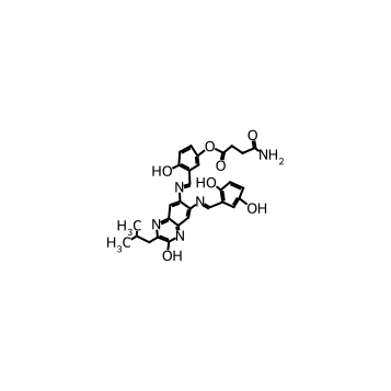 CC(C)Cc1nc2cc(/N=C/c3cc(OC(=O)CCC(N)=O)ccc3O)c(/N=C/c3cc(O)ccc3O)cc2nc1O